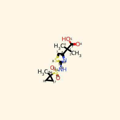 CC(C)(C(=O)O)c1csc(NS(=O)(=O)C2(C)CC2)n1